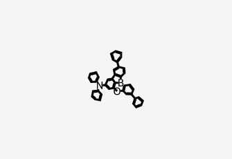 c1ccc(-c2ccc3c(c2)Oc2cc(N(c4ccccc4)c4ccccc4)cc4c2B3c2ccc(-c3ccccc3)cc2-4)cc1